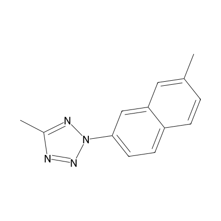 Cc1ccc2ccc(-n3nnc(C)n3)cc2c1